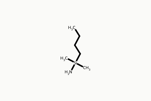 CCCC[Si](C)(C)N